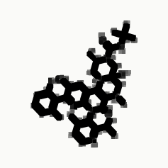 Cc1cccc(F)c1-c1nc2c(cc1Cl)c1c(c(=O)n2-c2c(C)ccnc2C(C)C)N(C)C[C@H]2CN(C(=O)OC(C)(C)C)[C@H](C)CN12